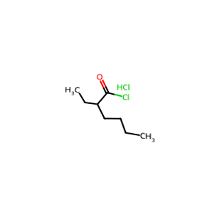 CCCCC(CC)C(=O)Cl.Cl